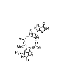 COC1OC(S)OC[C@H]2[C@H](F)[C@H](n3nnc4c(=O)[nH]cnc43)O[C@@H]2COP(S)O[C@@H](n2cnc3c(=O)[nH]c(N)nc32)[C@@H]1F